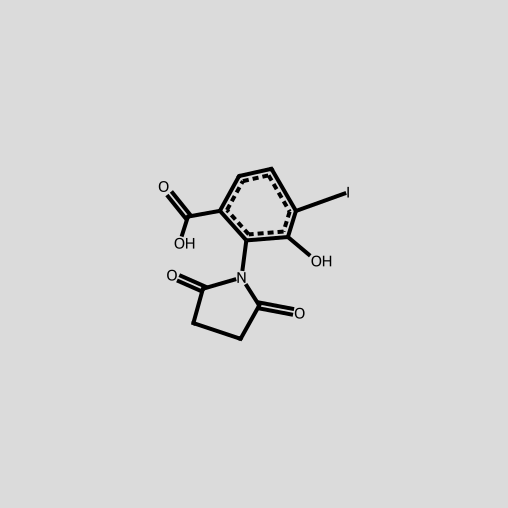 O=C(O)c1ccc(I)c(O)c1N1C(=O)CCC1=O